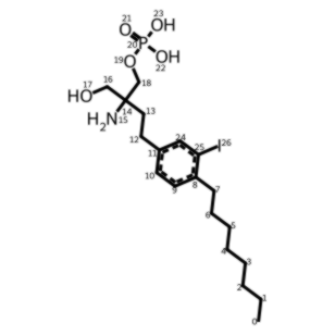 CCCCCCCCc1ccc(CCC(N)(CO)COP(=O)(O)O)cc1I